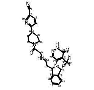 N#Cc1ccc(N2CCN(C(=O)CNCCC3c4ccccc4CN3c3cn[nH]c(=O)c3C(F)(F)F)CC2)nc1